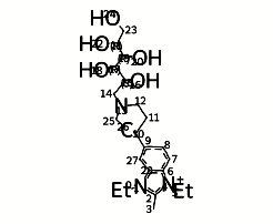 CCn1c(C)[n+](CC)c2ccc(C3CCN(C[C@H](O)[C@@H](O)[C@H](O)[C@H](O)CO)CC3)cc21